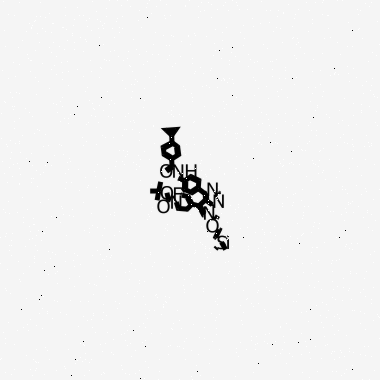 CC(C)(C)OC(=O)N1CC=C(c2cn(COCC[Si](C)(C)C)c3ncnc(-c4ccc(CNC(=O)c5ccc(C6CC6)cc5)c(F)c4)c23)CC1